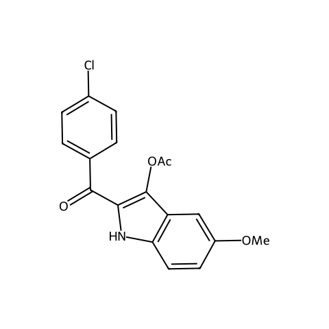 COc1ccc2[nH]c(C(=O)c3ccc(Cl)cc3)c(OC(C)=O)c2c1